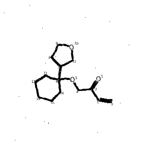 C=CC(=O)COC1(C2CCOC2)CCCCC1